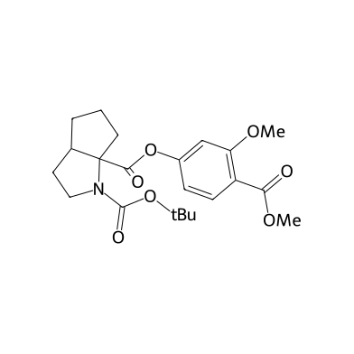 COC(=O)c1ccc(OC(=O)C23CCCC2CCN3C(=O)OC(C)(C)C)cc1OC